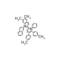 Cc1ccc(C2=C(c3ccc(C)cc3)N(c3ccccc3)/C(=C3\Sc4cc(C)c(C)cc4N3c3ccc4ccccc4c3)S2)cc1